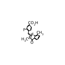 Cc1cccc(C(=O)N(C)/N=C/c2ccc(C(=O)O)cc2F)c1F